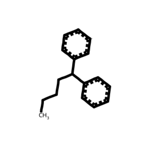 CCCCC(c1c[c]ccc1)c1ccccc1